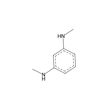 CNc1cccc(NC)c1